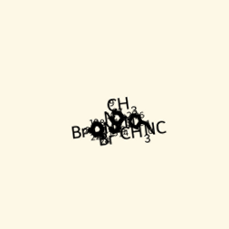 [C-]#[N+]CC1CCN(c2cc(C)nc3c2c(C)cn3-c2ccc(Br)cc2Br)CC1